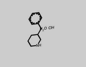 Cl.O.c1ccc(CC2CCCNC2)cc1